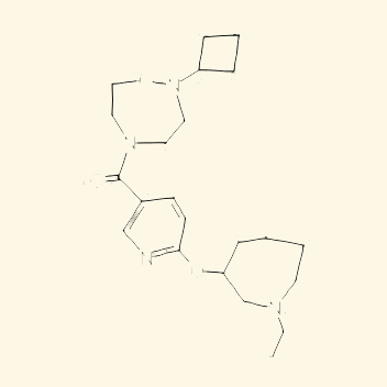 CCN1CCCCC(Oc2ccc(C(=O)N3CCCN(C4CCC4)CC3)cn2)C1